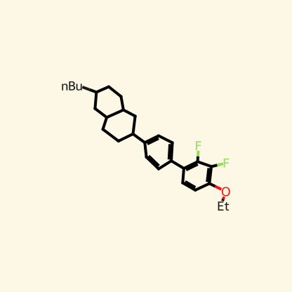 CCCCC1CCC2CC(c3ccc(-c4ccc(OCC)c(F)c4F)cc3)CCC2C1